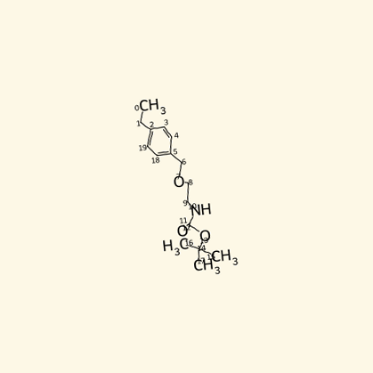 CCc1ccc(COCCNC(=O)OC(C)(C)C)cc1